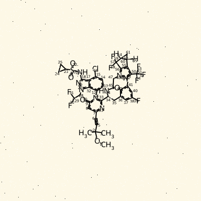 COC(C)(C)C#Cc1cc(=O)n(-c2ccc(Cl)c3c(NS(=O)(=O)C4CC4)nn(CC(F)F)c23)c([C@H](Cc2cc(F)cc(F)c2)NC(=O)Cn2nc(C(F)(F)F)c3c2C(F)(F)[C@@H]2C[C@H]32)n1